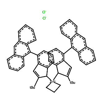 CC(C)(C)C1=Cc2c(-c3c4ccccc4cc4ccccc34)cccc2[CH]1[Zr+2]1([CH]2C(C(C)(C)C)=Cc3c(-c4c5ccccc5cc5ccccc45)cccc32)[CH2]C[CH2]1.[Cl-].[Cl-]